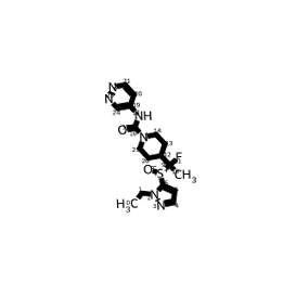 CCn1nccc1[S+]([O-])C(C)(F)C1CCN(C(=O)Nc2ccnnc2)CC1